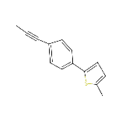 CC#Cc1ccc(-c2ccc(C)s2)cc1